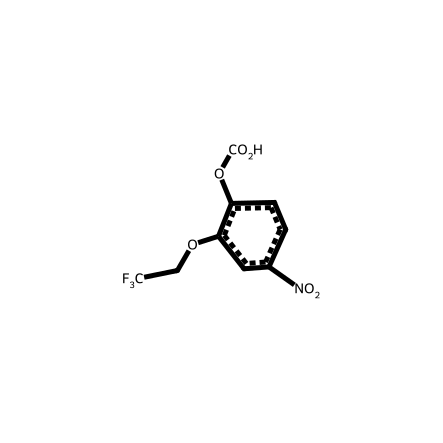 O=C(O)Oc1ccc([N+](=O)[O-])cc1OCC(F)(F)F